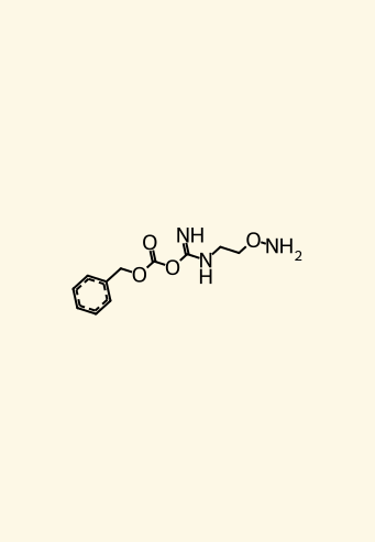 N=C(NCCON)OC(=O)OCc1ccccc1